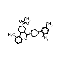 Cc1ccc(C)c(N2CCN(C(=O)C3CN(S(C)(=O)=O)CCC3c3ccccc3C)CC2)c1